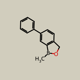 CB1OCc2ccc(-c3ccccc3)cc21